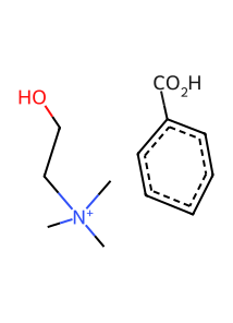 C[N+](C)(C)CCO.O=C(O)c1ccccc1